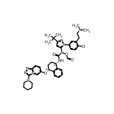 CN(C)CCc1cc(-n2nc(C(C)(C)C)cc2N(OC=O)C(=O)N[C@H]2CC[C@@H](Oc3ccc4nnc(N5CCCCC5)n4c3)c3ccccc32)ccc1Cl